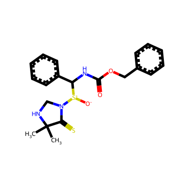 CC1(C)NCN([S+]([O-])C(NC(=O)OCc2ccccc2)c2ccccc2)C1=S